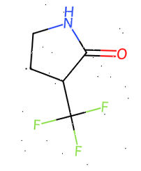 O=C1NC[CH]C1C(F)(F)F